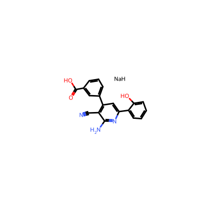 N#Cc1c(-c2cccc(C(=O)O)c2)cc(-c2ccccc2O)nc1N.[NaH]